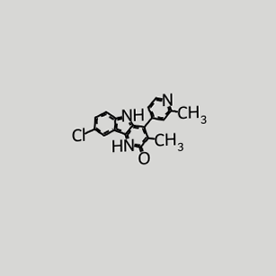 Cc1cc(-c2c(C)c(=O)[nH]c3c2[nH]c2ccc(Cl)cc23)ccn1